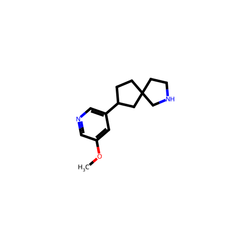 COc1cncc(C2CCC3(CCNC3)C2)c1